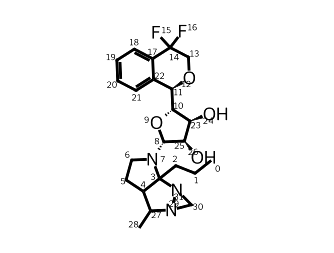 CCCC12C(CCN1[C@@H]1O[C@H]([C@@H]3OCC(F)(F)c4ccccc43)[C@@H](O)[C@H]1O)C(C)N1CN12